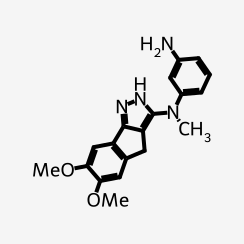 COc1cc2c(cc1OC)-c1n[nH]c(N(C)c3cccc(N)c3)c1C2